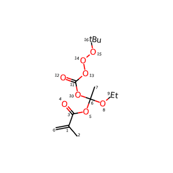 C=C(C)C(=O)OC(C)(OCC)OC(=O)OOOC(C)(C)C